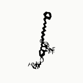 O=C(CC1Cc2ccc(OCCc3cn4c(n3)NCCC4)cc2CN(CC(F)(F)F)C1=O)OCCCCCCCCCCc1ccccc1